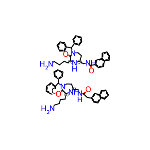 NCCCC[C@@H]1N[C@H](CNC(=O)Cc2ccc3ccccc3c2)CCN(C(c2ccccc2)c2ccccc2)C1=O.NCCCC[C@@H]1N[C@H](CNC(=O)c2ccc3ccccc3c2)CCN(C(c2ccccc2)c2ccccc2)C1=O